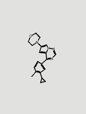 [CH2]c1ccc(-c2ncnn3cc(N4CCOCC4)cc23)cc1C1CC1